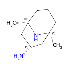 C[C@]12CCC[C@](C)(C[C@@H](N)C1)N2